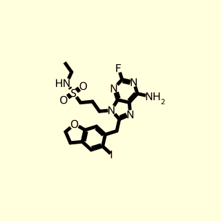 CCNS(=O)(=O)CCCn1c(Cc2cc3c(cc2I)CCO3)nc2c(N)nc(F)nc21